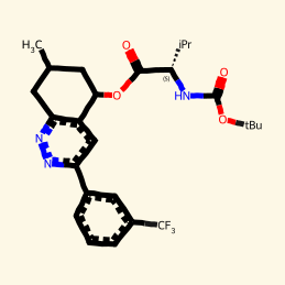 CC1Cc2nnc(-c3cccc(C(F)(F)F)c3)cc2C(OC(=O)[C@@H](NC(=O)OC(C)(C)C)C(C)C)C1